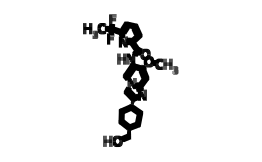 COc1cc2nc([C@H]3CC[C@H](CO)CC3)cn2cc1NC(=O)c1cccc(C(C)(F)F)n1